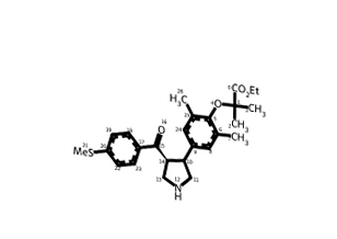 CCOC(=O)C(C)(C)Oc1c(C)cc(C2CNC[C@H]2C(=O)c2ccc(SC)cc2)cc1C